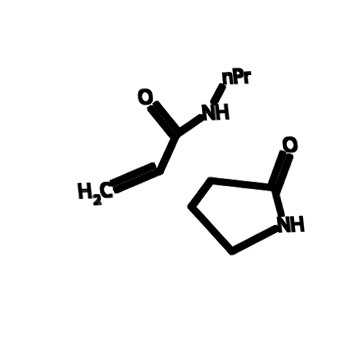 C=CC(=O)NCCC.O=C1CCCN1